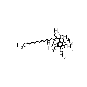 CCCCCCCCCCCCCC(C)=C(C)c1c(C)c(C)c(C)c(C)c1C